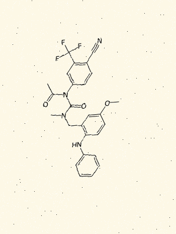 COc1ccc(Nc2ccccc2)c(CN(C)C(=O)N(C(C)=O)c2ccc(C#N)c(C(F)(F)F)c2)c1